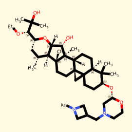 CCO[C@@H]([C@H]1C[C@@H](C)[C@H]2[C@H](O1)[C@H](O)[C@@]1(C)[C@@H]3CC[C@H]4C(C)(C)[C@@H](O[C@H]5CN(CC6CN(C(C)=O)C6)CCO5)CCC45C[C@@]35CC[C@]21C)C(C)(C)O